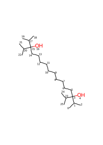 CC(C)C(O)(CCCCCCCCCCC(O)(C(C)C)C(C)C)C(C)C